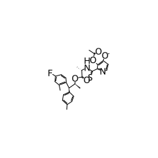 COc1ccnc(C(=S)N[C@@H](C)C(=O)O[C@@H](C)[C@@H](c2ccc(C)cc2)c2ccc(F)cc2C)c1OC(C)=O